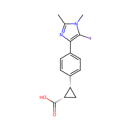 Cc1nc(-c2ccc([C@@H]3C[C@@H]3C(=O)O)cc2)c(I)n1C